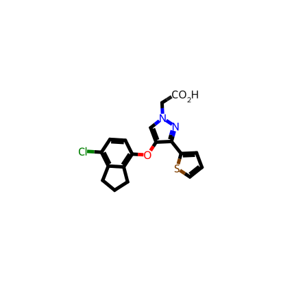 O=C(O)Cn1cc(Oc2ccc(Cl)c3c2CCC3)c(-c2cccs2)n1